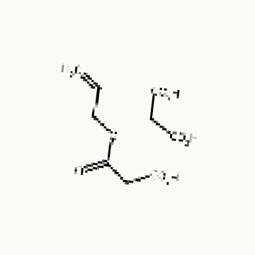 C=CCOC(=O)CC(=O)O.O=C(O)CC(=O)O